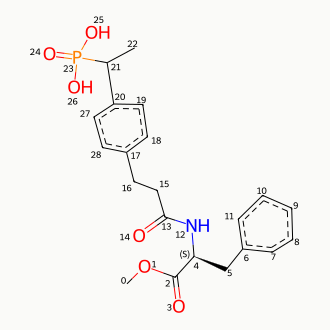 COC(=O)[C@H](Cc1ccccc1)NC(=O)CCc1ccc(C(C)P(=O)(O)O)cc1